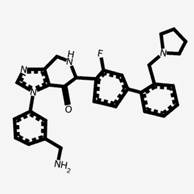 NCc1cccc(-n2cnc3c2C(=O)C(c2ccc(-c4ccccc4CN4CCCC4)cc2F)NC3)c1